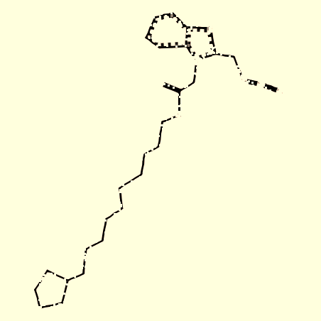 [N-]=[N+]=NCc1nc2ccccc2n1CC(=O)NCCCCCCCCCCC1CCCC1